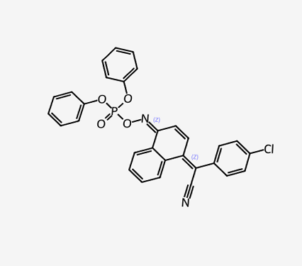 N#C/C(=C1C=C/C(=N/OP(=O)(Oc2ccccc2)Oc2ccccc2)c2ccccc2/1)c1ccc(Cl)cc1